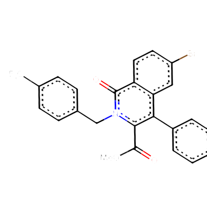 COC(=O)c1c(-c2ccccc2)c2cc(Br)ccc2c(=O)n1Cc1ccc(C(F)(F)F)cc1